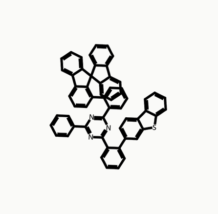 c1ccc(-c2nc(-c3ccccc3-c3ccc4c(c3)sc3ccccc34)nc(-c3ccccc3-c3cccc4c3C3(c5ccccc5-c5ccccc53)c3ccccc3-4)n2)cc1